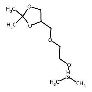 C[SiH](C)OCCOCC1COC(C)(C)O1